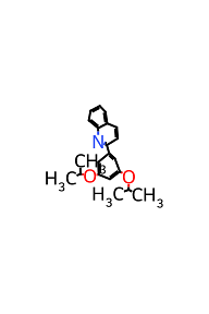 CC(C)Oc1cc(OC(C)C)cc(-c2ccc3ccccc3n2)c1